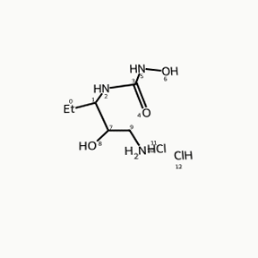 CCC(NC(=O)NO)C(O)CN.Cl.Cl